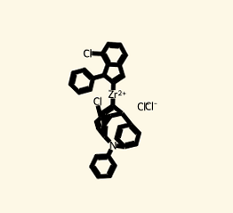 Clc1cccc2c1C(c1ccccc1)[C]([Zr+2][C]1=Cc3c4ccc(Cl)c3C1c1ccc(cc1)N4c1ccccc1)=C2.[Cl-].[Cl-]